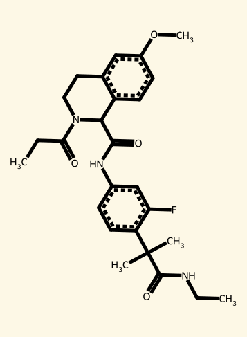 CCNC(=O)C(C)(C)c1ccc(NC(=O)C2c3ccc(OC)cc3CCN2C(=O)CC)cc1F